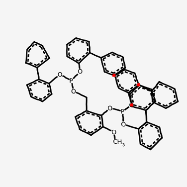 COc1cccc(COP(Oc2ccccc2-c2ccccc2)Oc2ccccc2-c2ccccc2)c1OP(Oc1ccccc1-c1ccccc1)Oc1ccccc1-c1ccccc1